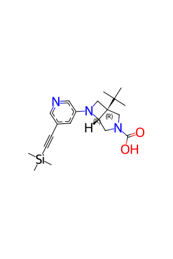 CC(C)(C)[C@@]12CN(C(=O)O)C[C@@H]1N(c1cncc(C#C[Si](C)(C)C)c1)C2